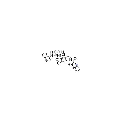 N=C(/C=C1/C=CC=CN1)C(=O)N1CCc2c(cc(Cl)c(C(=O)N[C@@H](CNc3ncnc4ccccc34)C(=O)O)c2Cl)C1